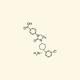 C[C@@H]1CN(c2ccc(C(=O)O)cc2)C(=O)N1[C@H]1CC[C@](CN)(c2cccc(Cl)c2)CC1